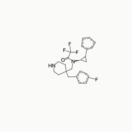 O=C(N(CC1(Cc2ccc(F)cc2)CCNCC1)[C@@H]1CC1c1ccccc1)C(F)(F)F